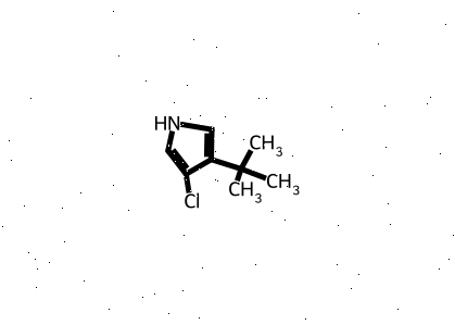 CC(C)(C)c1c[nH]cc1Cl